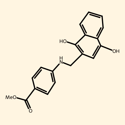 COC(=O)c1ccc(NCc2cc(O)c3ccccc3c2O)cc1